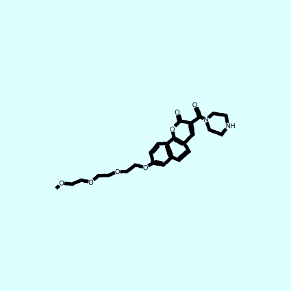 COCCOCCOCCOc1ccc2c(ccc3cc(C(=O)N4CCNCC4)c(=O)oc32)c1